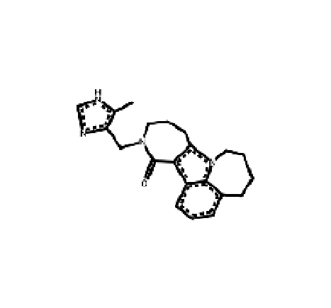 Cc1[nH]cnc1CN1CCCc2c(c3cccc4c3n2CCCC4)C1=O